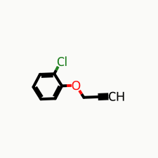 C#CCOc1ccccc1Cl